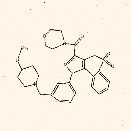 COC1CCN(Cc2cccc(-n3nc(C(=O)N4CCOCC4)c4c3-c3ccccc3S(=O)(=O)C4)c2)CC1